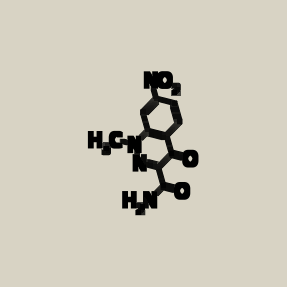 Cn1nc(C(N)=O)c(=O)c2ccc([N+](=O)[O-])cc21